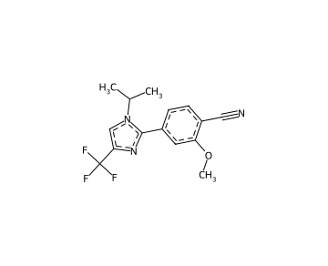 COc1cc(-c2nc(C(F)(F)F)cn2C(C)C)ccc1C#N